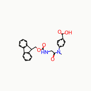 CN(C(=O)CNC(=O)OCC1c2ccccc2-c2ccccc21)c1ccc(C(=O)O)cc1